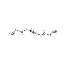 OCOCC#CCOCO